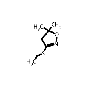 CCSC1=NOC(C)(C)C1